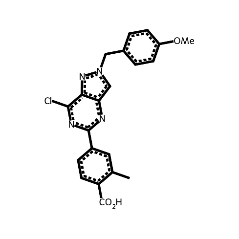 COc1ccc(Cn2cc3nc(-c4ccc(C(=O)O)c(C)c4)nc(Cl)c3n2)cc1